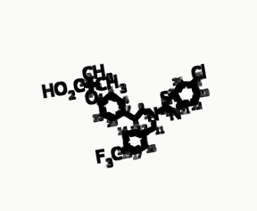 CC(C)(Oc1ccc(CCN(Cc2ccc(C(F)(F)F)cc2)c2nc3ccc(Cl)cc3s2)cc1)C(=O)O